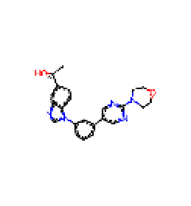 C[C@H](O)c1ccc2c(c1)ncn2-c1cccc(-c2cnc(N3CCOCC3)nc2)c1